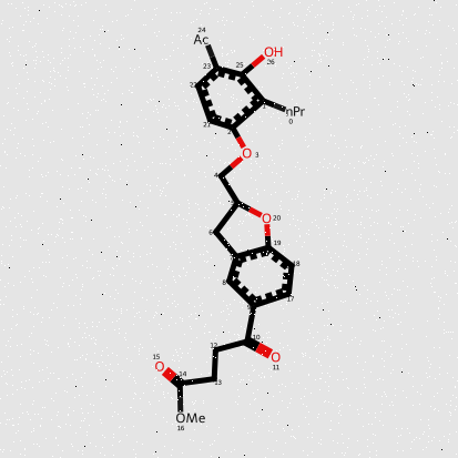 CCCc1c(OCC2Cc3cc(C(=O)CCC(=O)OC)ccc3O2)ccc(C(C)=O)c1O